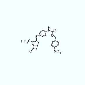 O=C(Nc1ccc(SC2=C(C(=O)O)N3C(=O)CC3C2)cc1)OCc1ccc([N+](=O)[O-])cc1